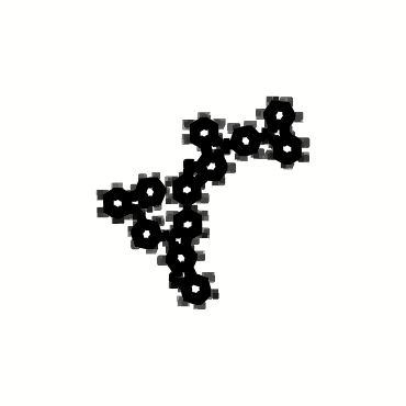 c1cc(-n2c3ccccc3c3ccccc32)cc(-n2c3cc(-c4ccc5sc6c(ccc7c6c6ccccc6n7-c6ccc(-n7c8ccccc8c8ccccc87)cc6)c5c4)ccc3c3cc4c(cc32)sc2ccccc24)c1